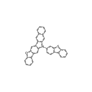 c1ccc2cc3c(cc2c1)c1cc2oc4ccccc4c2cc1n3-c1ccc2c(c1)sc1ccccc12